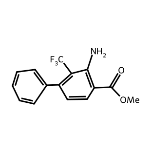 COC(=O)c1ccc(-c2ccccc2)c(C(F)(F)F)c1N